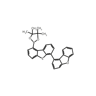 CC1(C)OB(c2cccc3sc4c(-c5cccc6oc7ccccc7c56)cccc4c23)OC1(C)C